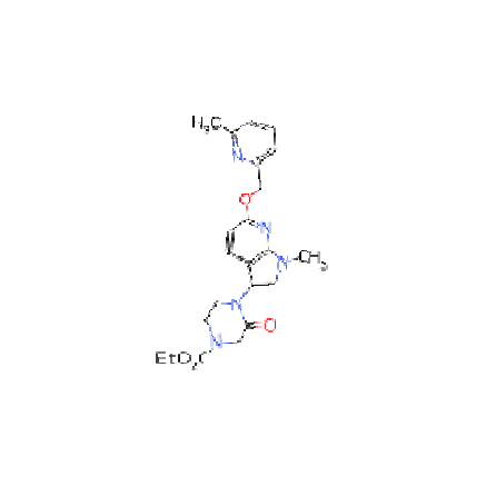 CCOC(=O)N1CCN(c2cn(C)c3nc(OCc4cccc(C)n4)ccc23)C(=O)C1